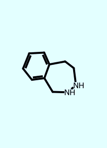 c1ccc2c(c1)CCNNC2